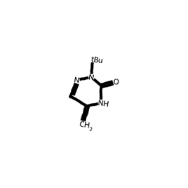 C=C1C=NN(C(C)(C)C)C(=O)N1